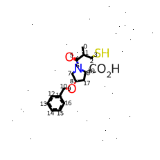 CC(CS)C(=O)N1C[C@H](OCc2ccccc2)C[C@H]1C(=O)O